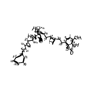 Cl.O=c1[nH]c2c(O)ccc(CCNCCCS(=O)(=O)NCCOCCSc3ccccc3)c2s1